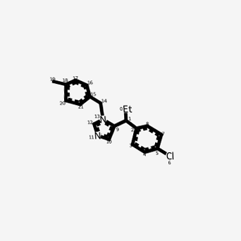 [CH2]CC(c1ccc(Cl)cc1)c1cncn1Cc1ccc(C)cc1